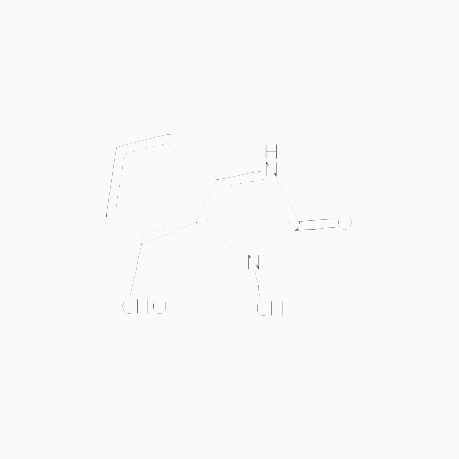 Cn1c(=O)[nH]c2cccc(C=O)c21